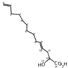 C=CCCCCCCCC=CCC(O)C(=O)O